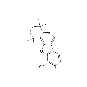 CC1(C)CCC(C)(C)c2c1ccc1c2oc2c(Cl)nccc21